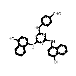 O=Cc1ccc(Nc2nc(Nc3ccc(O)c4ccccc34)nc(Nc3ccc(O)c4ccccc34)n2)cc1